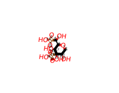 O=S(=O)(O)C(O)[C@H]1O[CH][C@H](O)[C@](O)(S(=O)(=O)O)[C@H]1O